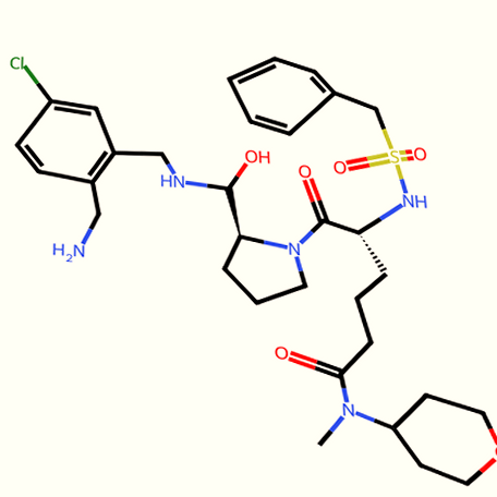 CN(C(=O)CCC[C@@H](NS(=O)(=O)Cc1ccccc1)C(=O)N1CCC[C@H]1C(O)NCc1cc(Cl)ccc1CN)C1CCOCC1